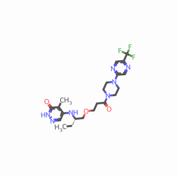 CC[C@@H](COCCC(=O)N1CCN(c2cnc(C(F)(F)F)cn2)CC1)Nc1cn[nH]c(=O)c1C